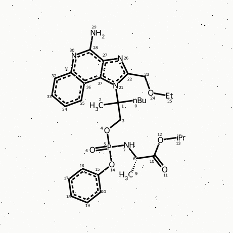 CCCCC(C)(COP(=O)(N[C@@H](C)C(=O)OC(C)C)Oc1ccccc1)n1c(COCC)nc2c(N)nc3ccccc3c21